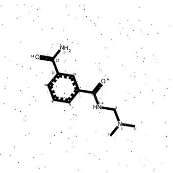 CN(C)CNC(=O)c1cccc(C(N)=O)c1